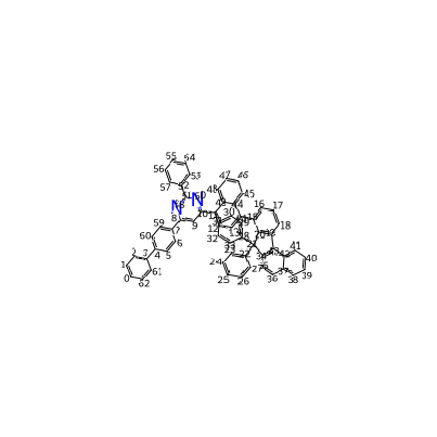 c1ccc(-c2ccc(-c3cc(-c4ccc(-c5cccc6c5C(c5ccccc5)(c5ccccc5)c5ccc7ccccc7c5-6)c5ccccc45)nc(-c4ccccc4)n3)cc2)cc1